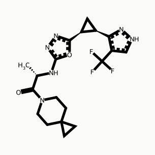 C[C@H](Nc1nnc([C@H]2C[C@H]2c2n[nH]cc2C(F)(F)F)o1)C(=O)N1CCC2(CC1)CC2